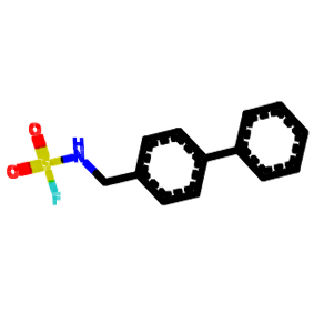 O=S(=O)(F)NCc1ccc(-c2ccccc2)cc1